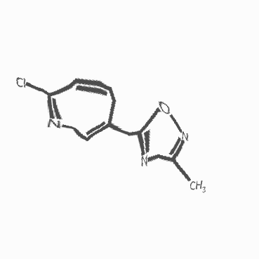 Cc1noc(-c2ccc(Cl)nc2)n1